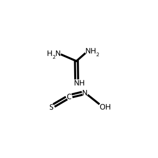 N=C(N)N.ON=C=S